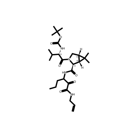 C=CCNC(=O)C(=O)C(CCC)NC(=O)[C@@H]1[C@@H]2[C@H](CN1C(=O)[C@@H](NC(=O)OC(C)(C)C)C(C)C)C2(C)C